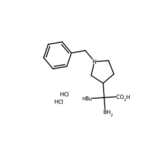 BC(CCCC)(C(=O)O)C1CCN(Cc2ccccc2)C1.Cl.Cl